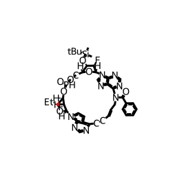 CC[C@H]1O[C@@H]2[C@H](F)[C@@H]1O[PH](=O)OC[C@H]1O[C@H]([C@H](F)[C@@H]1O[Si](C)(C)C(C)(C)C)n1cnc3c(ncnc31)N(C(=O)c1ccccc1)C/C=C/CCc1ncnc3c1ccn32